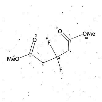 COC(=O)CC(F)(F)CC(=O)OC